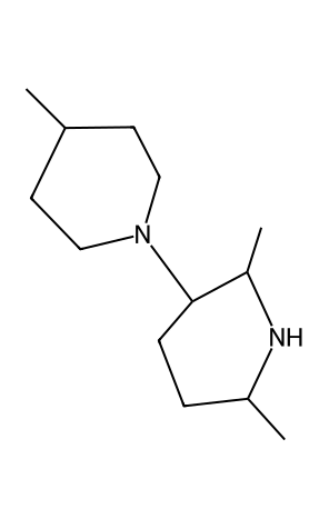 CC1CCN(C2CCC(C)NC2C)CC1